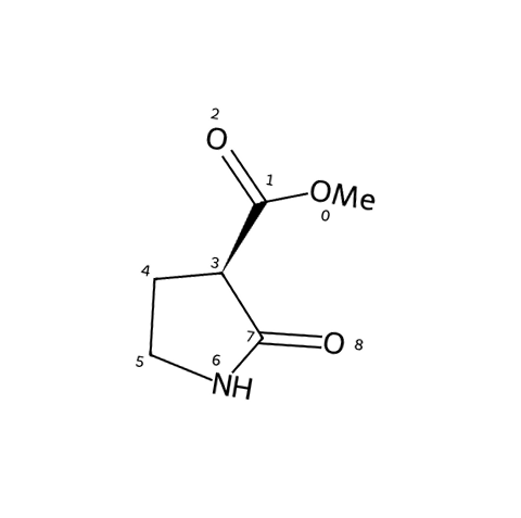 COC(=O)[C@@H]1CCNC1=O